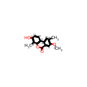 COc1cc2c(=O)oc3c(C)c(O)ccc3c2cc1C